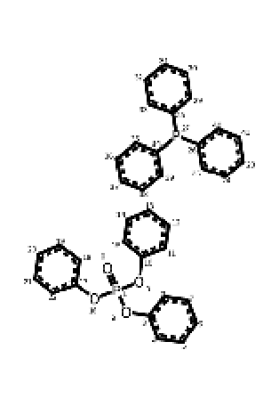 O=P(Oc1ccccc1)(Oc1ccccc1)Oc1ccccc1.c1ccc(P(c2ccccc2)c2ccccc2)cc1